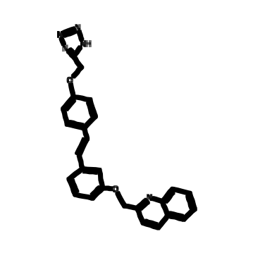 C(=Cc1cccc(OCc2ccc3ccccc3n2)c1)c1ccc(OCc2nnn[nH]2)cc1